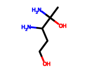 CC(N)(O)C(N)CCO